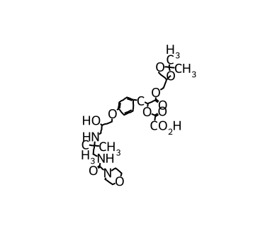 CC(C)(CNC(=O)N1CCOCC1)NCC(O)COc1ccc(CC(OC(=O)C(=O)O)C(=O)OCC2COC(C)(C)O2)cc1